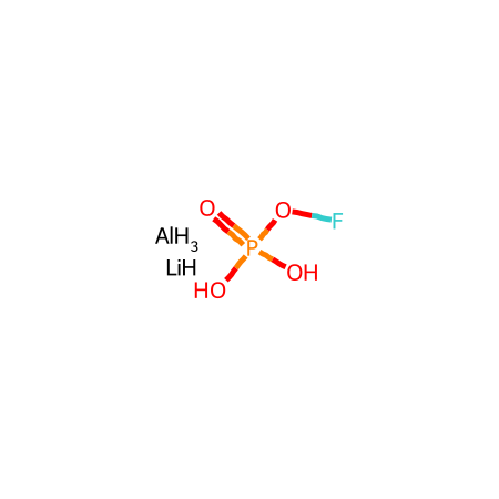 O=P(O)(O)OF.[AlH3].[LiH]